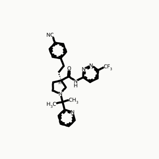 CC(C)(c1ccccn1)N1CC[C@@](CCc2ccc(C#N)cc2)(C(=O)Nc2ccc(C(F)(F)F)nn2)C1